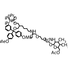 CCCOP(OCC(CCCCNC(=O)COCCOCCOC1OC(COC(C)=O)C(C)C(C)C1NC(C)=O)COC(c1ccccc1)(c1ccc(OC)cc1)c1ccc(OC)cc1)N(C(C)C)C(C)C